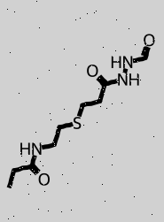 CCC(=O)NCCSCCC(=O)NNC=O